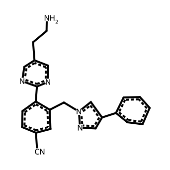 N#Cc1ccc(-c2ncc(CCN)cn2)c(Cn2cc(-c3ccccc3)cn2)c1